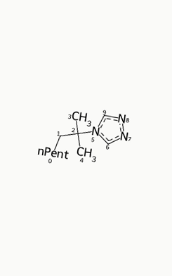 CCCCCCC(C)(C)n1cnnc1